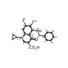 O=C(O)c1cn(C2CC2)c2cc(F)c(F)c(NCc3ccccc3)c2c1=O